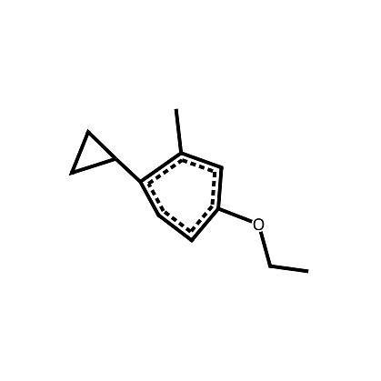 CCOc1ccc(C2CC2)c(C)c1